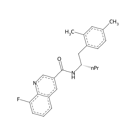 CCC[C@@H](Cc1ccc(C)cc1C)NC(=O)c1cnc2c(F)cccc2c1